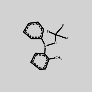 Cc1ccccc1N(OC(F)(F)F)c1ccccc1